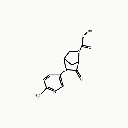 CC(C)(C)OC(=O)N1CC2CC1C(=O)N2c1ccc(N)nc1